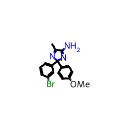 COc1ccc(C2(c3cccc(Br)c3)N=C(C)C(N)=N2)cc1